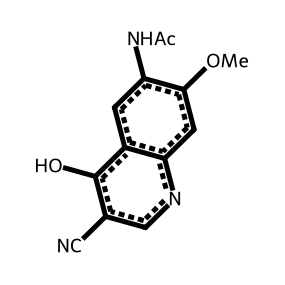 COc1cc2ncc(C#N)c(O)c2cc1NC(C)=O